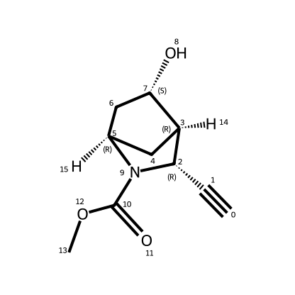 C#C[C@H]1[C@H]2C[C@H](C[C@@H]2O)N1C(=O)OC